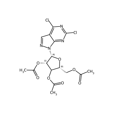 CC(=O)OC[C@H]1O[C@@H](n2ncc3c(Cl)nc(Cl)nc32)[C@@H](OC(C)=O)C1OC(C)=O